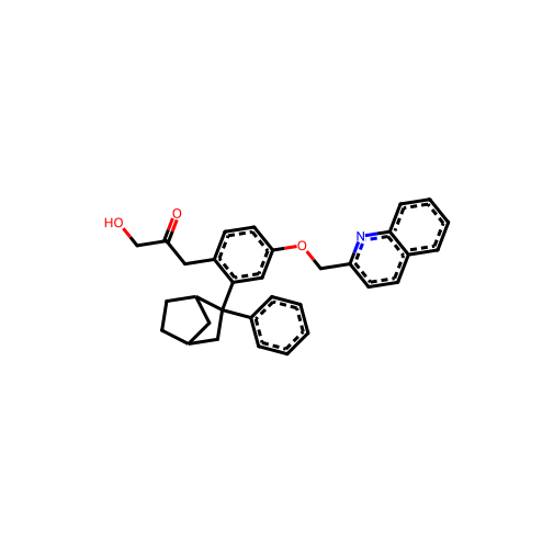 O=C(CO)Cc1ccc(OCc2ccc3ccccc3n2)cc1C1(c2ccccc2)CC2CCC1C2